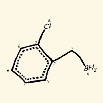 BCc1ccccc1Cl